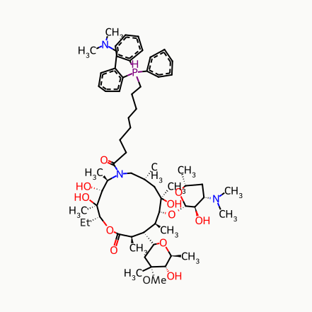 CC[C@H]1OC(=O)[C@H](C)[C@@H](C2C[C@@](C)(OC)[C@@H](O)[C@H](C)O2)[C@H](C)[C@@H](O[C@@H]2O[C@H](C)C[C@H](N(C)C)[C@H]2O)[C@](C)(O)C[C@@H](C)CN(C(=O)CCCCCCC[PH](c2ccccc2)(c2ccccc2)c2ccccc2CN(C)C)[C@H](C)[C@@H](O)[C@]1(C)O